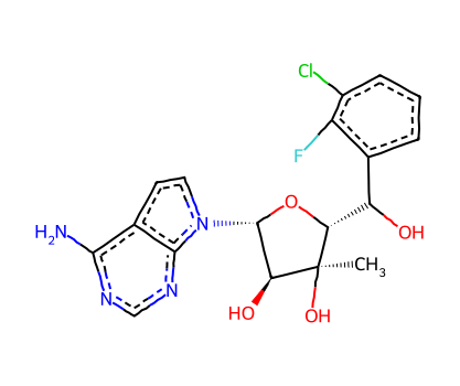 C[C@@]1(O)[C@@H](C(O)c2cccc(Cl)c2F)O[C@@H](n2ccc3c(N)ncnc32)[C@@H]1O